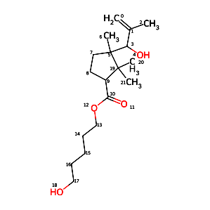 C=C(C)C(O)C1(C)CCC(C(=O)OCCCCCO)C1(C)C